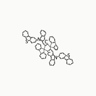 c1ccc2c(c1)-c1ccccc1C21c2cc3c4ccccc4n(-c4ccc5sc6ccccc6c5c4)c3cc2C2(c3ccccc3-c3ccccc32)c2cc3c4ccccc4n(-c4ccc5sc6ccccc6c5c4)c3cc21